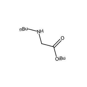 CCCCNCC(=O)OCC(C)C